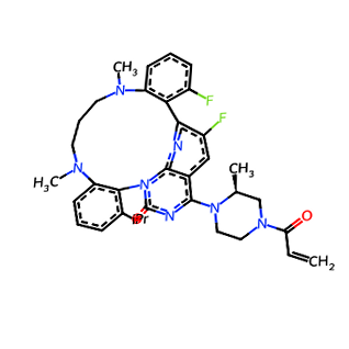 C=CC(=O)N1CCN(c2nc(=O)n3c4nc(c(F)cc24)-c2c(F)cccc2N(C)CCCN(C)c2cccc(C(C)C)c2-3)[C@@H](C)C1